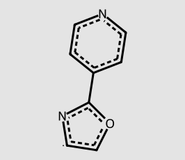 [c]1coc(-c2ccncc2)n1